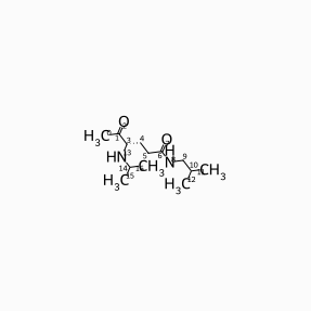 CC(=O)[C@H](CCC(=O)NCC(C)C)NC(C)C